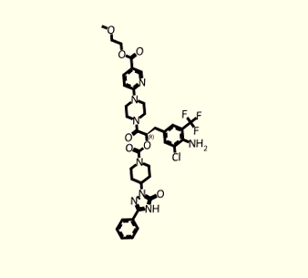 COCCOC(=O)c1ccc(N2CCN(C(=O)[C@@H](Cc3cc(Cl)c(N)c(C(F)(F)F)c3)OC(=O)N3CCC(n4nc(-c5ccccc5)[nH]c4=O)CC3)CC2)nc1